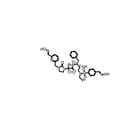 CCC(C)C(C)(C(=O)N[C@@H](Cc1ccccc1)[C@H](O)CN(CC(C)C)S(=O)(=O)c1ccc(C=NO)cc1)N1CCN(Cc2cccc(C=NO)n2)C1=O